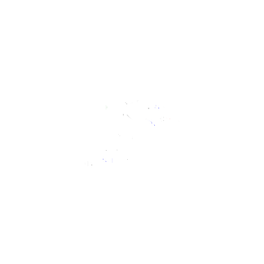 CC(C)(C)NCC(O)COc1cccc2c1=NC(=O)N=2.Cl